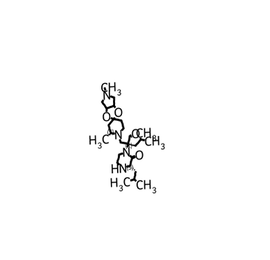 CC(C)C[C@@H]1NCCN([C@](C=O)(CC(C)C)CN2CCC3(C[C@@H]2C)OC2CN(C)CC2O3)C1=O